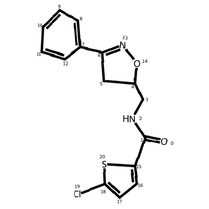 O=C(NCC1CC(c2ccccc2)=NO1)c1ccc(Cl)s1